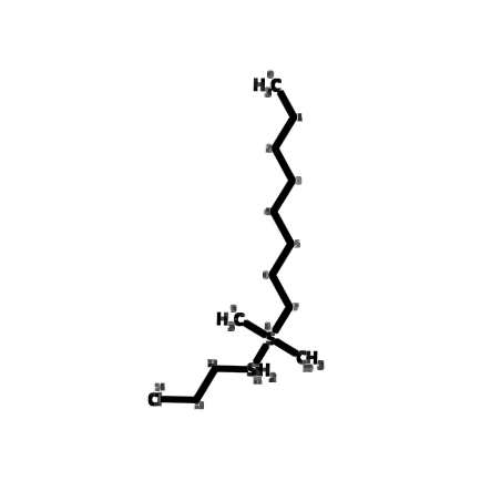 CCCCCCCCS(C)(C)[SiH2]CCCl